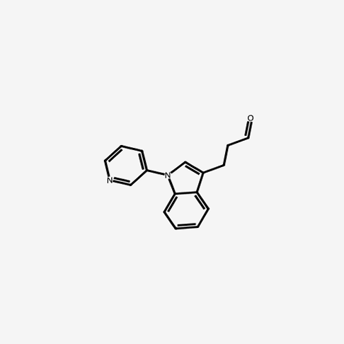 O=CCCc1cn(-c2cccnc2)c2ccccc12